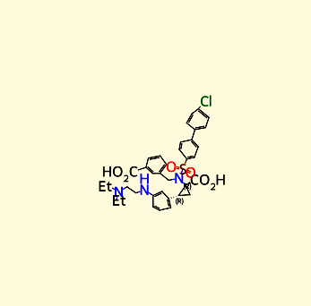 CCN(CC)CCNc1cccc([C@H]2C[C@@]2(C(=O)O)N(Cc2cccc(C(=O)O)c2)S(=O)(=O)c2ccc(-c3ccc(Cl)cc3)cc2)c1